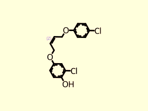 Oc1ccc(OC/C=C\COc2ccc(Cl)cc2)cc1Cl